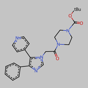 CC(C)(C)OC(=O)N1CCN(C(=O)Cn2cnc(-c3ccccc3)c2-c2ccncc2)CC1